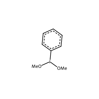 COI(OC)c1ccccc1